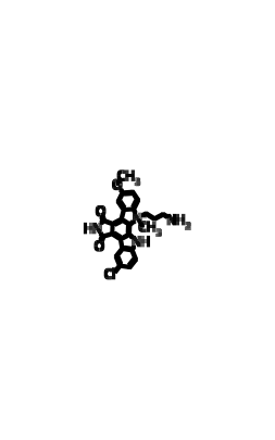 COc1ccc2c(c1)-c1c3c(c4c([nH]c5ccc(Cl)cc54)c1[N+]2(C)CCCN)C(=O)NC3=O